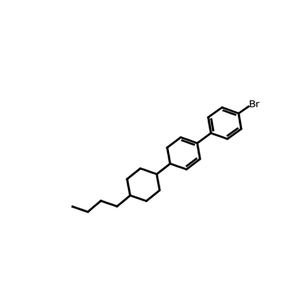 CCCCC1CCC(C2C=CC(c3ccc(Br)cc3)=CC2)CC1